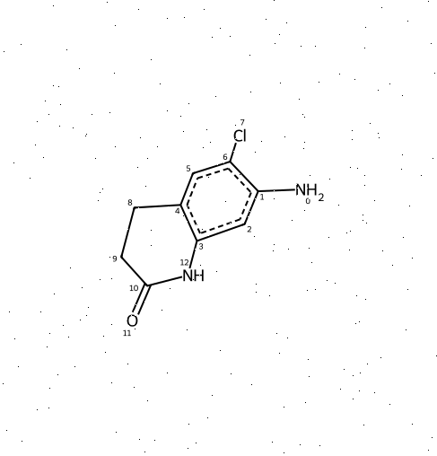 Nc1cc2c(cc1Cl)CCC(=O)N2